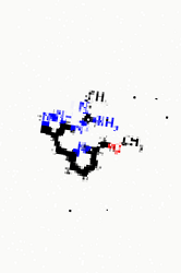 CN/C(N)=N\c1[nH]ncc1Cc1cccc(COC)n1